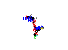 C=C1NC(=O)CCC1N1Cc2c(NC(=O)COCCOCCNC(=O)C3(Cc4cccc(Nc5nccs5)n4)CCC(Oc4cccc(Cl)c4F)CC3)cccc2C1=C